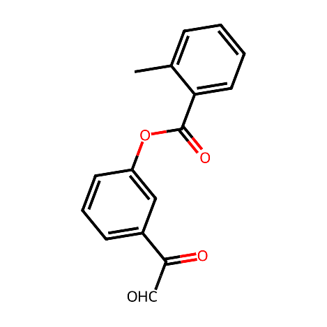 Cc1ccccc1C(=O)Oc1cccc(C(=O)C=O)c1